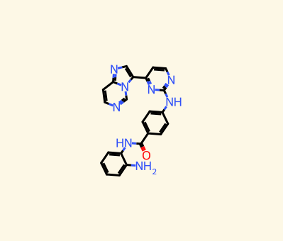 Nc1ccccc1NC(=O)c1ccc(Nc2nccc(-c3cnc4ccncn34)n2)cc1